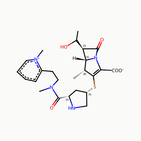 CC(O)[C@H]1C(=O)N2C(C(=O)[O-])=C(S[C@@H]3CN[C@H](C(=O)N(C)CCc4cccc[n+]4C)C3)[C@H](C)[C@H]12